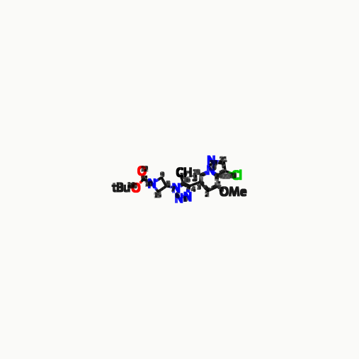 COc1cc(-c2nnn(C3CN(C(=O)OC(C)(C)C)C3)c2C)cn2ncc(Cl)c12